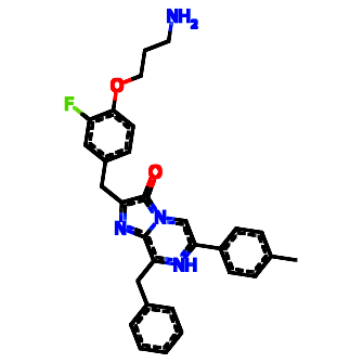 Cc1ccc(-c2cn3c(=O)c(Cc4ccc(OCCCN)c(F)c4)nc-3c(Cc3ccccc3)[nH]2)cc1